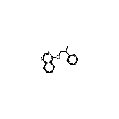 CC(COc1ncnc2ccccc12)c1ccccc1